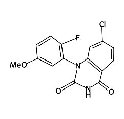 COc1ccc(F)c(-n2c(=O)[nH]c(=O)c3ccc(Cl)cc32)c1